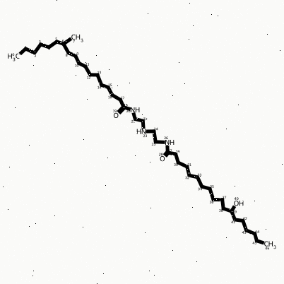 CCCCCCC(C)CCCCCCCCCCC(=O)NCCNCCNC(=O)CCCCCCCCCCC(O)CCCCCC